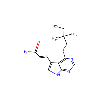 CC(C)(CC#N)COc1ncnc2[nH]cc(C=CC(N)=O)c12